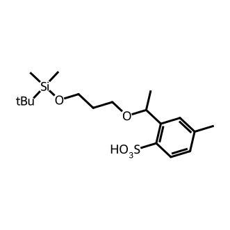 Cc1ccc(S(=O)(=O)O)c(C(C)OCCCO[Si](C)(C)C(C)(C)C)c1